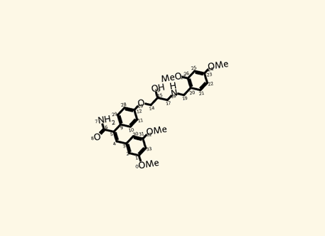 COc1cc(C=C(C(N)=O)c2ccc(OCC(O)CNCc3ccc(OC)cc3OC)cc2)cc(OC)c1